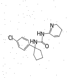 O=C(NC1=NCCC=C1)NC1(c2ccc(Cl)cc2)CCCC1